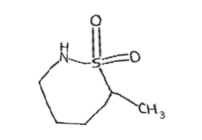 CC1CCCNS1(=O)=O